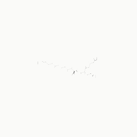 CCCCCCCCCCC(=O)OCC(CCC)CCCCC